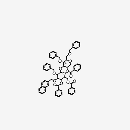 O=C(OCC1OC(OC2C(OC(=O)c3ccccc3)COC(COCc3ccccc3)[C@@H]2OCc2ccccc2)C(OCc2ccccc2)C(OCc2ccc3ccccc3c2)C1OC(=O)c1ccccc1)c1ccccc1